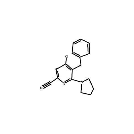 N#Cc1nc(Cl)c(Cc2ccccc2)c(N2CCCC2)n1